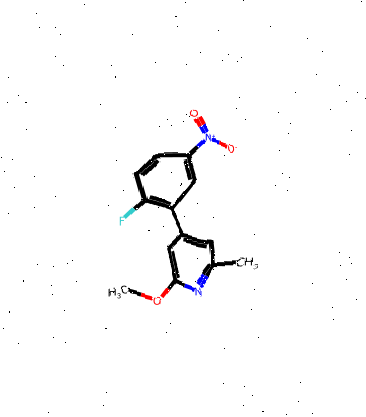 COc1cc(-c2cc([N+](=O)[O-])ccc2F)cc(C)n1